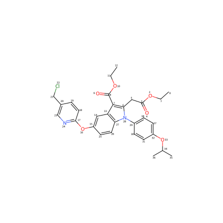 CCOC(=O)Cc1c(C(=O)OCC)c2cc(Oc3ccc(CCl)cn3)ccc2n1-c1ccc(OC(C)C)cc1